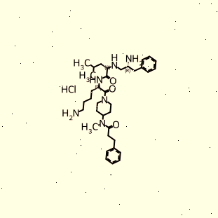 CC(C)C[C@@H](NC[C@H](N)Cc1ccccc1)C(=O)N[C@H](CCCCN)C(=O)N1CCC(N(C)C(=O)CCc2ccccc2)CC1.Cl